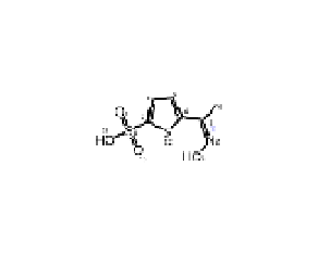 C/C(=N/O)c1ccc(S(=O)(=O)O)s1